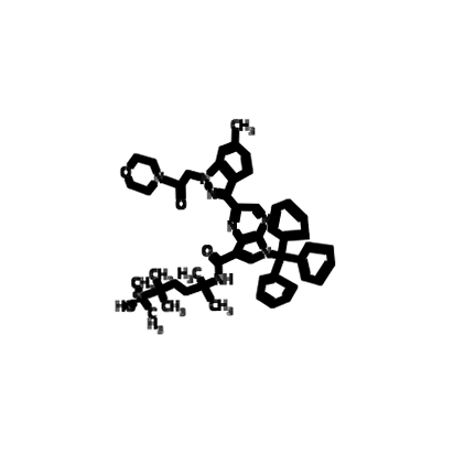 Cc1ccc2c(-c3cnc4c(n3)c(C(=O)NC(C)(C)CCC(C)(C)[Si](C)(C)O)cn4C(c3ccccc3)(c3ccccc3)c3ccccc3)nn(CC(=O)N3CCOCC3)c2c1